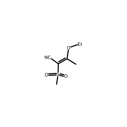 CCO/C(C)=C(\C#N)S(C)(=O)=O